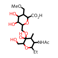 CCC1OC(CO)C(O)(OCC2OC(C(=O)O)C(COC)C(O)C2O)C(C)C1NC(C)=O